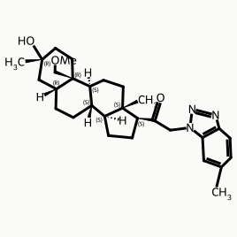 COC[C@]12CC[C@@](C)(O)C[C@H]1CC[C@H]1[C@@H]3CC[C@H](C(=O)Cn4nnc5ccc(C)cc54)[C@@]3(C)CC[C@@H]12